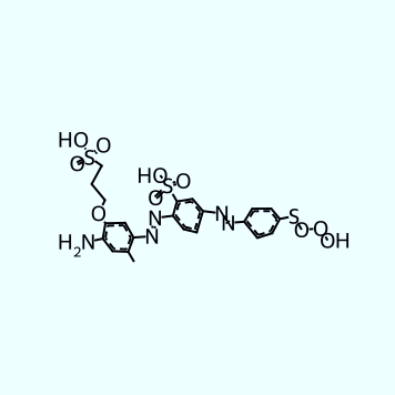 Cc1cc(N)c(OCCCS(=O)(=O)O)cc1N=Nc1ccc(N=Nc2ccc(SOOO)cc2)cc1S(=O)(=O)O